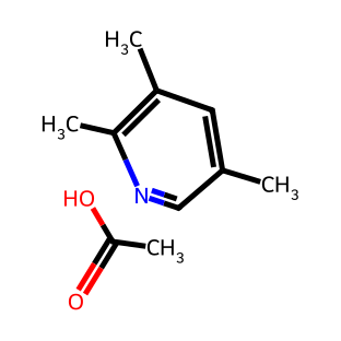 CC(=O)O.Cc1cnc(C)c(C)c1